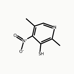 Cc1cnc(C)c(S)c1[N+](=O)[O-]